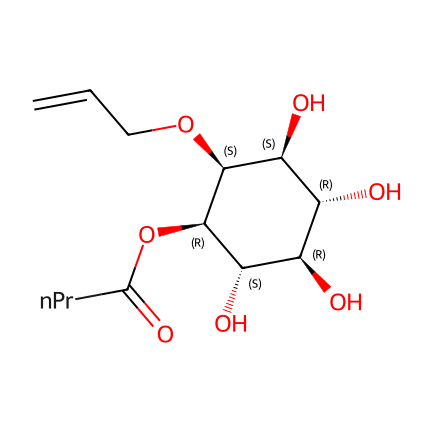 C=CCO[C@H]1[C@@H](O)[C@H](O)[C@@H](O)[C@H](O)[C@H]1OC(=O)CCC